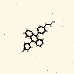 Cc1ccc(-c2c3ccccc3c(-c3ccc(CCI)cc3)c3ccccc23)cc1